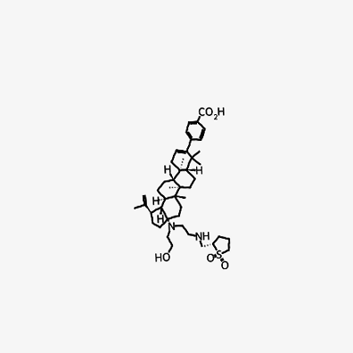 C=C(C)[C@@H]1CC[C@]2(N(CCO)CCNC[C@@H]3CCCS3(=O)=O)CC[C@]3(C)[C@H](CC[C@@H]4[C@@]5(C)CC=C(c6ccc(C(=O)O)cc6)C(C)(C)[C@@H]5CC[C@]43C)[C@@H]12